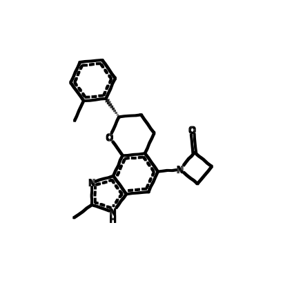 Cc1nc2c3c(c(N4CCC4=O)cc2[nH]1)CC[C@@H](c1ccccc1C)O3